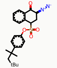 CC(C)(C)CC(C)(C)c1ccc(OS(=O)(=O)C2CC(=[N+]=[N-])C(=O)c3ccccc32)cc1